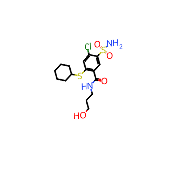 NS(=O)(=O)c1cc(C(=O)NCCCO)c(SC2CCCCC2)cc1Cl